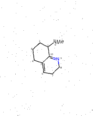 CNC1CCCC2=CCCN=C21